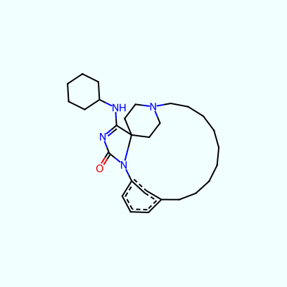 O=C1N=C(NC2CCCCC2)C23CCN(CCCCCCCCCc4cccc(c4)N12)CC3